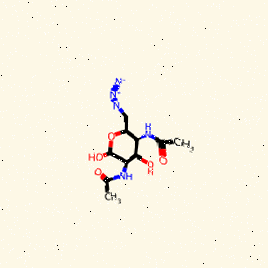 CC(=O)NC1C(O)OC(CN=[N+]=[N-])[C@@H](NC(C)=O)C1O